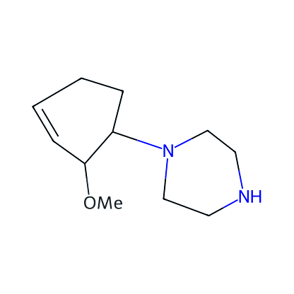 COC1C=CCCC1N1CCNCC1